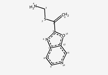 C=C(SCN)c1nc2ccncc2o1